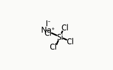 Cl[Si](Cl)(Cl)Cl.[I-].[Na+]